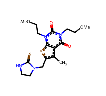 COCCn1c(=O)c2c(C)c(CN3CCNC3=S)sc2n(CCOC)c1=O